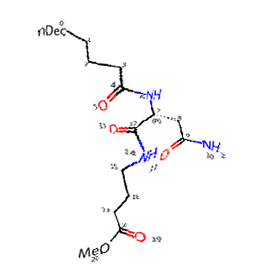 CCCCCCCCCCCCCC(=O)N[C@H](CC(N)=O)C(=O)NCCCC(=O)OC